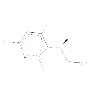 NC[C@H](O)c1c(F)cc(F)cc1F